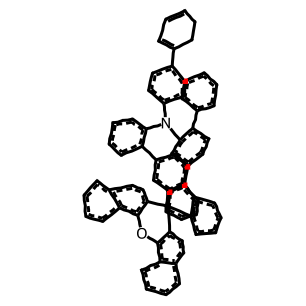 C1=CCCC(c2ccc(N(c3ccccc3-c3ccc4c(c3)C3(c5ccccc5-4)c4ccc5ccccc5c4Oc4c3ccc3ccccc43)c3cc(-c4ccccc4)ccc3-c3ccccc3)cc2)=C1